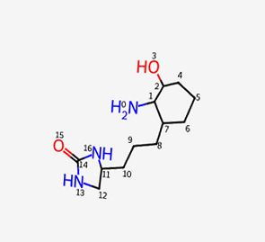 NC1C(O)CCCC1CCCC1CNC(=O)N1